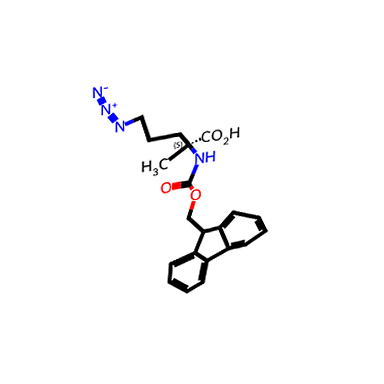 C[C@@](CCCN=[N+]=[N-])(NC(=O)OCC1c2ccccc2-c2ccccc21)C(=O)O